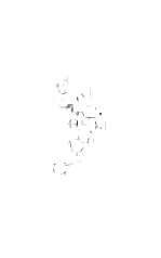 COc1cnc2[nH]cc(C(=O)c3ccc(Oc4ccccc4)cc3F)c2c1N[C@@H]1CC[C@@H](CO)OC1